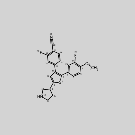 COc1ccc(-c2sc(C3CCNC3)cc2-c2ccc(C#N)c(F)c2)cc1F